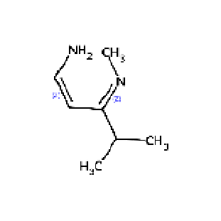 C/N=C(\C=C/N)C(C)C